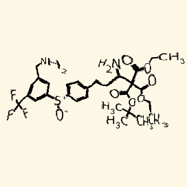 CCOC(=O)C(C(=O)OCC)(C(=O)OC(C)(C)C)C(N)CCc1ccc([S+]([O-])c2cc(CN)cc(C(F)(F)F)c2)cc1